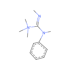 CN=C(N(C)c1ccccc1)[N+](C)(C)C